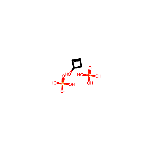 O=P(O)(O)O.O=P(O)(O)O.OC1C=CC1